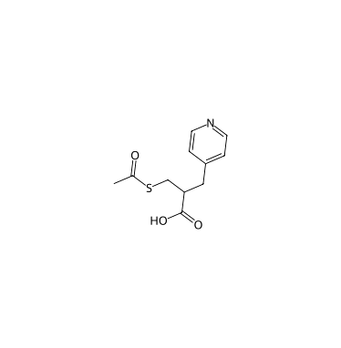 CC(=O)SCC(Cc1ccncc1)C(=O)O